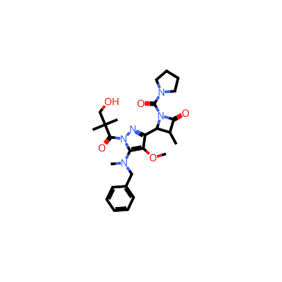 COc1c(C2C(C)C(=O)N2C(=O)N2CCCC2)nn(C(=O)C(C)(C)CO)c1N(C)Cc1ccccc1